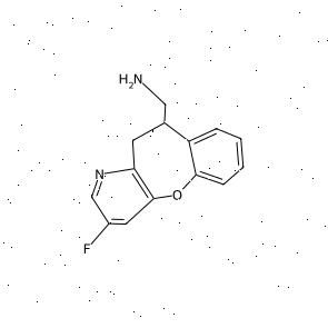 NCC1Cc2ncc(F)cc2Oc2ccccc21